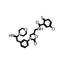 N=C(Cc1cccc(N2CC(CNC(=O)C3=CC(Cl)=CCC3=S)OC2=O)c1)N1CCOCC1